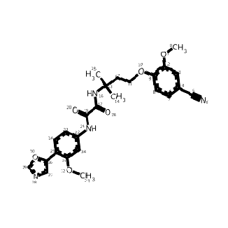 COc1cc(C#N)ccc1OCCC(C)(C)NC(=O)C(=O)Nc1ccc(-c2cnco2)c(OC)c1